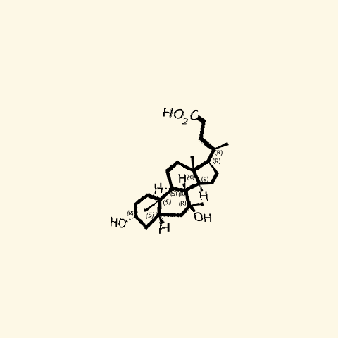 C[C@H](CCC(=O)O)[C@H]1CC[C@H]2[C@H]3[C@H](CC[C@]12C)[C@@]1(C)CC[C@@H](O)C[C@H]1C[C@@]3(C)O